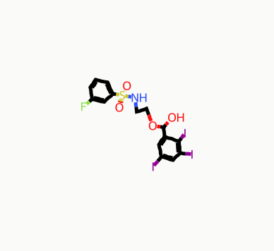 O=S(=O)(NCCOC(O)c1cc(I)cc(I)c1I)c1cccc(F)c1